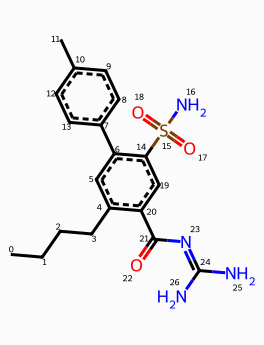 CCCCc1cc(-c2ccc(C)cc2)c(S(N)(=O)=O)cc1C(=O)N=C(N)N